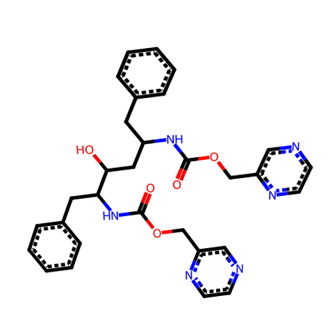 O=C(NC(Cc1ccccc1)CC(O)C(Cc1ccccc1)NC(=O)OCc1cnccn1)OCc1cnccn1